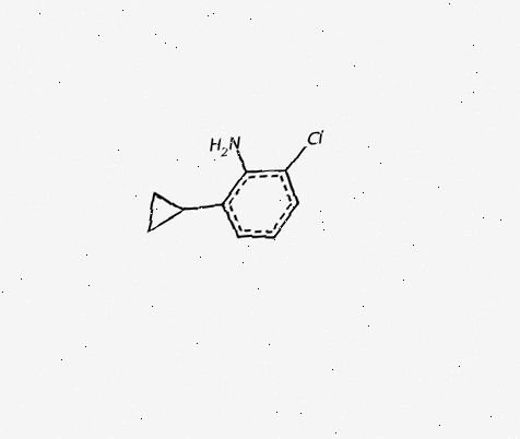 Nc1c(Cl)cccc1C1CC1